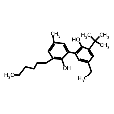 CCCCCCc1cc(C)cc(-c2cc(CC)cc(C(C)(C)C)c2O)c1O